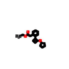 CCOC(=O)Cc1ccccc1C1CCC1OC1CCCC1